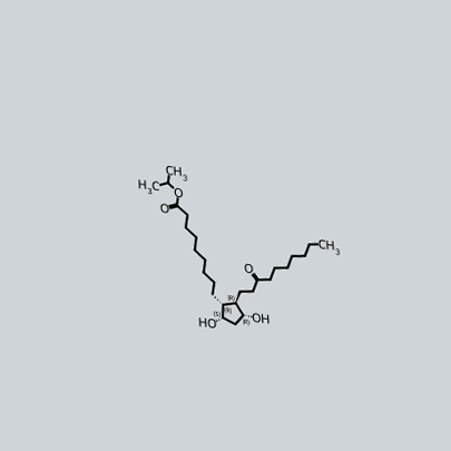 CCCCCCCC(=O)CC[C@@H]1[C@@H](CCCCCCCCC(=O)OC(C)C)[C@@H](O)C[C@H]1O